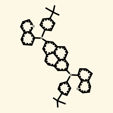 CC(C)(C)c1ccc(N(c2cc3ccc4cc(N(c5ccc(C(C)(C)C)cc5)c5cccc6cccnc56)cc5ccc(c2)c3c45)c2cccc3cccnc23)cc1